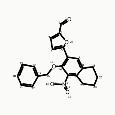 O=Cc1ccc(-c2cc3c(c([N+](=O)[O-])c2OCc2ccccc2)CCCC3)o1